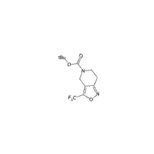 CC(C)(C)OC(=O)N1CCc2noc(C(F)(F)F)c2C1